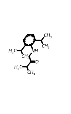 CC(C)C(=O)CNc1c(C(C)C)cccc1C(C)C